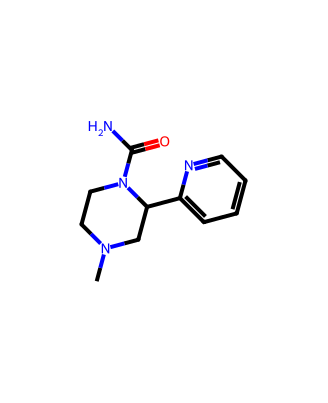 CN1CCN(C(N)=O)C(c2ccccn2)C1